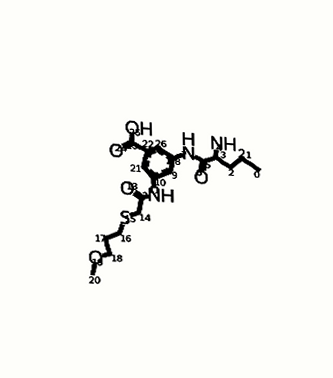 CCCC(N)C(=O)Nc1cc(NC(=O)CSCCCOC)cc(C(=O)O)c1